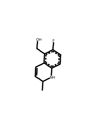 CC1C=Cc2c(ccc(F)c2CO)N1